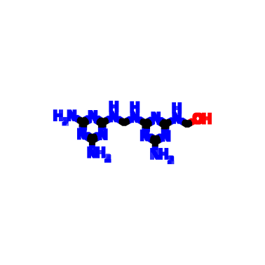 Nc1nc(N)nc(NCNc2nc(N)nc(NCO)n2)n1